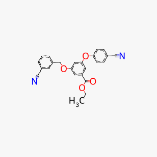 CCOC(=O)c1cc(OCc2cccc(C#N)c2)cc(Oc2ccc(C#N)cc2)c1